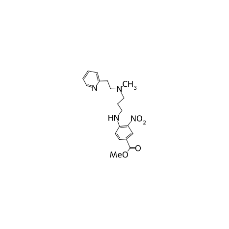 COC(=O)c1ccc(NCCCN(C)CCc2ccccn2)c([N+](=O)[O-])c1